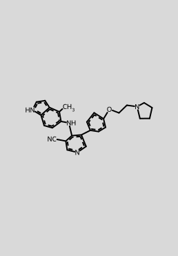 Cc1c(Nc2c(C#N)cncc2-c2ccc(OCCN3CCCC3)cc2)ccc2[nH]ccc12